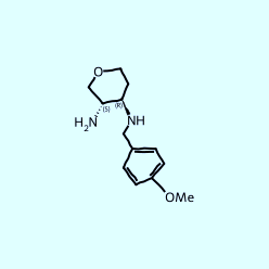 COc1ccc(CN[C@@H]2CCOC[C@H]2N)cc1